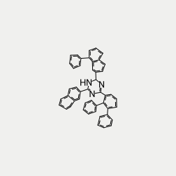 c1ccc(-c2cccc(C3=NC(c4ccc5cccc(-c6ccccc6)c5c4)NC(c4ccc5ccccc5c4)=N3)c2-c2ccccc2)cc1